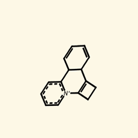 C1=CC2C3=C(CC3)[n+]3ccccc3C2C=C1